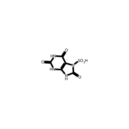 O=c1[nH]c(=O)c2c([nH]1)[nH]c(=O)n2S(=O)(=O)O